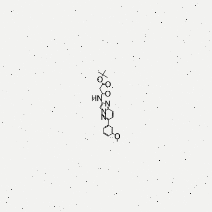 COc1cccc(-c2ccc3nc(NC(=O)CC(=O)OC(C)(C)C)cn3n2)c1